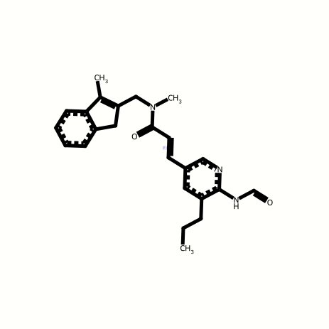 CCCc1cc(/C=C/C(=O)N(C)CC2=C(C)c3ccccc3C2)cnc1NC=O